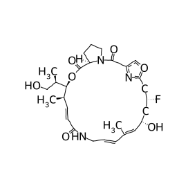 CC1=C\[C@@H](O)C[C@@H](F)Cc2nc(co2)C(=O)N2CCC[C@@H]2C(=O)O[C@H]([C@H](C)CO)[C@H](C)/C=C/C(=O)NC\C=C\1